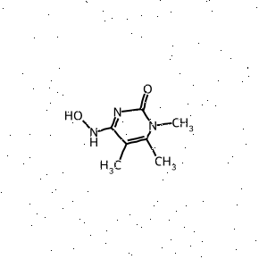 Cc1c(NO)nc(=O)n(C)c1C